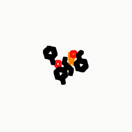 CCC(CC)(Pc1ccccc1C(C)=O)c1cc(C)ccc1OCc1ccccc1